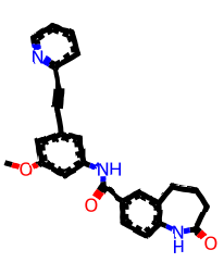 COc1cc(C#Cc2ccccn2)cc(NC(=O)c2ccc3c(c2)CCCC(=O)N3)c1